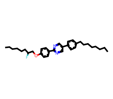 CCCCCCCCc1ccc(-c2cnc(-c3ccc(OCC(F)CCCCCC)cc3)nc2)cc1